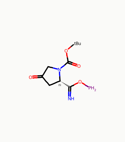 CC(C)(C)OC(=O)N1CC(=O)C[C@H]1C(=N)OP